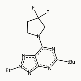 CCn1nc2nc(C(C)(C)C)nc(N3CCC(F)(F)C3)c2n1